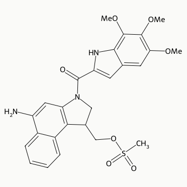 COc1cc2cc(C(=O)N3CC(COS(C)(=O)=O)c4c3cc(N)c3ccccc43)[nH]c2c(OC)c1OC